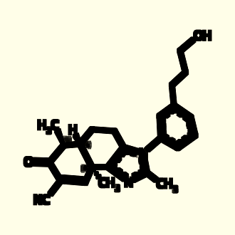 Cc1nc2c(n1-c1cccc(CCCO)c1)CC[C@H]1[C@H](C)C(=O)C(C#N)=C[C@]21C